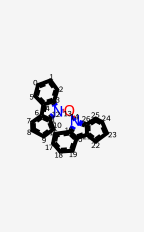 c1ccc2c(c1)c1ccccc1n2On1c2ccccc2c2ccccc21